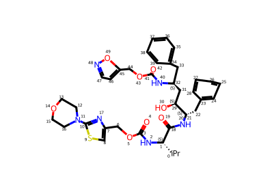 CC(C)[C@H](NC(=O)OCc1csc(N2CCOCC2)n1)C(=O)N[C@@H](Cc1ccccc1)[C@@H](O)C[C@H](Cc1ccccc1)NC(=O)OCc1ccno1